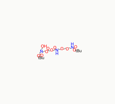 CC(C)(C)OC(=O)CN(CCO)CCOC(=O)COCC(=O)NCCOCCOCCNC(=O)OC(C)(C)C